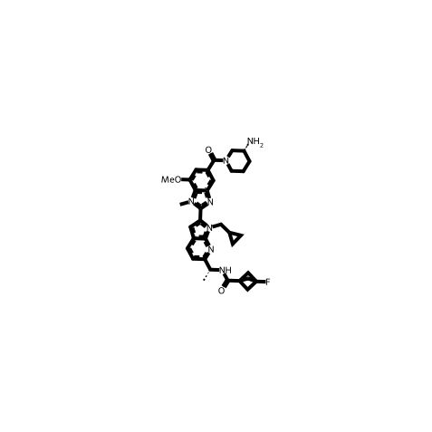 COc1cc(C(=O)N2CCC[C@@H](N)C2)cc2nc(-c3cc4ccc([C@@H](C)NC(=O)C56CC(F)(C5)C6)nc4n3CC3CC3)n(C)c12